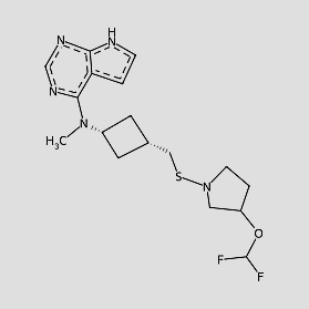 CN(c1ncnc2[nH]ccc12)[C@H]1C[C@@H](CSN2CCC(OC(F)F)C2)C1